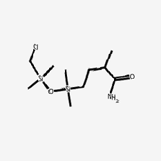 CC(CC[Si](C)(C)O[Si](C)(C)CCl)C(N)=O